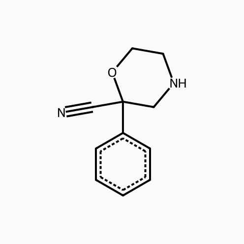 N#CC1(c2ccccc2)CNCCO1